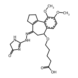 COc1ccc2c(c1OC)C1=C(CCC1)C(=NNC1=NC(=O)CN1)CC2OCCCCC(=O)O